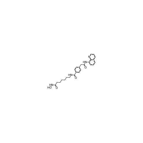 O=C(CCCCCCNC(=O)c1ccc(CC(=O)Nc2cccc3cccnc23)cc1)NO